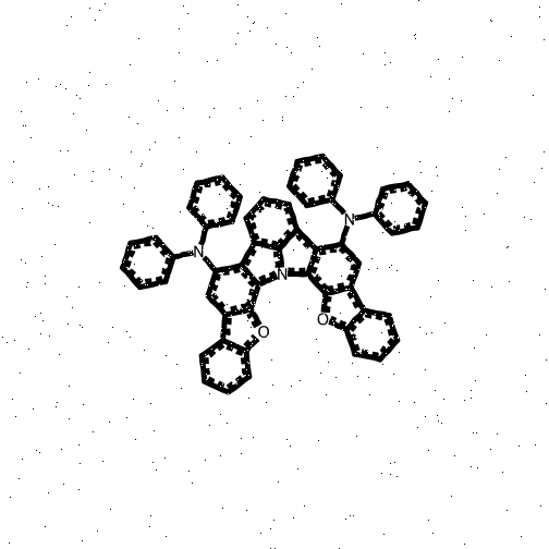 c1ccc(N(c2ccccc2)c2cc3c4ccccc4oc3c3c2c2cccc4c5c(N(c6ccccc6)c6ccccc6)cc6c7ccccc7oc6c5n3c24)cc1